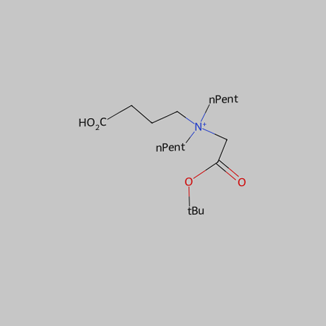 CCCCC[N+](CCCCC)(CCCC(=O)O)CC(=O)OC(C)(C)C